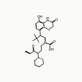 C=CC(=O)N(CCN(CC(c1ccc(O)c2c1OCC(=O)N2)C(C)(C)C)C(=O)O)C1CCCCC1